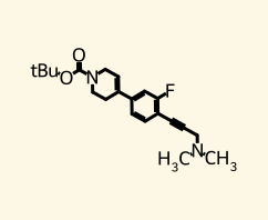 CN(C)CC#Cc1ccc(C2=CCN(C(=O)OC(C)(C)C)CC2)cc1F